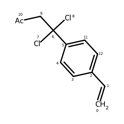 C=Cc1ccc(C(Cl)(Cl)CC(C)=O)cc1